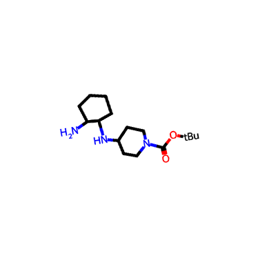 CC(C)(C)OC(=O)N1CCC(NC2CCCCC2N)CC1